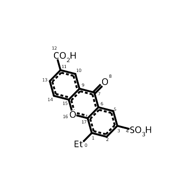 CCc1cc(S(=O)(=O)O)cc2c(=O)c3cc(C(=O)O)ccc3oc12